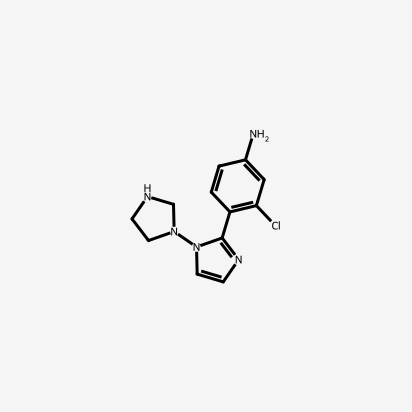 Nc1ccc(-c2nccn2N2CCNC2)c(Cl)c1